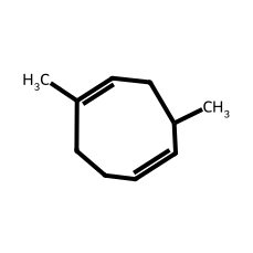 C/C1=C/CC(C)/C=C\CC1